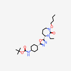 CCCCON1CCC[C@@H](c2nnc([C@H]3CC[C@H](NC(=O)OC(C)(C)C)CC3)o2)N(CC)C1=O